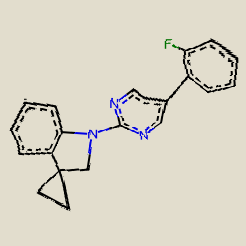 Fc1ccccc1-c1cnc(N2CC3(CC3)c3cc[c]cc32)nc1